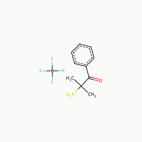 CC(C)([SH2+])C(=O)c1ccccc1.F[B-](F)(F)F